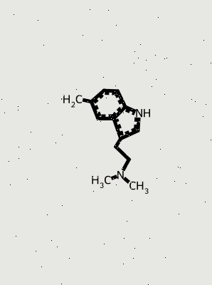 [CH2]c1ccc2[nH]cc(CCN(C)C)c2c1